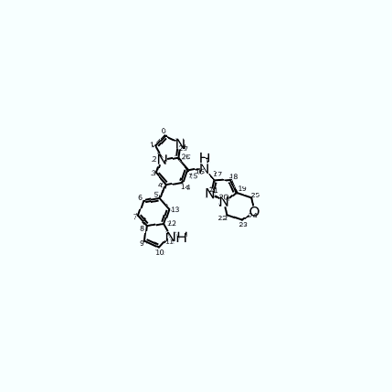 c1cn2cc(-c3ccc4cc[nH]c4c3)cc(Nc3cc4n(n3)CCOC4)c2n1